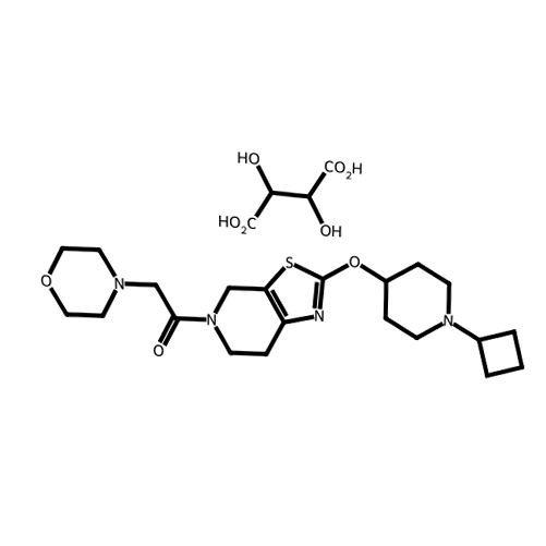 O=C(CN1CCOCC1)N1CCc2nc(OC3CCN(C4CCC4)CC3)sc2C1.O=C(O)C(O)C(O)C(=O)O